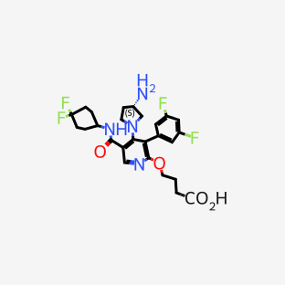 N[C@H]1CCN(c2c(C(=O)NC3CCC(F)(F)CC3)cnc(OCCCC(=O)O)c2-c2cc(F)cc(F)c2)C1